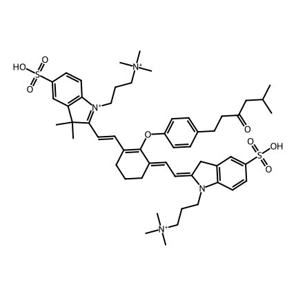 CC(C)CC(=O)CCc1ccc(OC2=C(/C=C/C3=[N+](CCC[N+](C)(C)C)c4ccc(S(=O)(=O)O)cc4C3(C)C)CCC/C2=C\C=C2/Cc3cc(S(=O)(=O)O)ccc3N2CCC[N+](C)(C)C)cc1